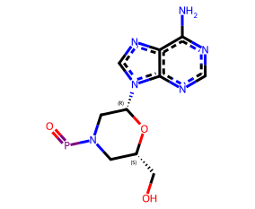 Nc1ncnc2c1ncn2[C@H]1CN(P=O)C[C@@H](CO)O1